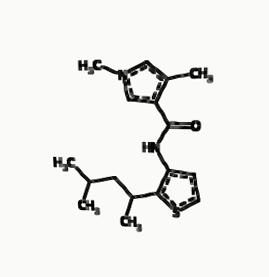 Cc1cn(C)cc1C(=O)Nc1ccsc1C(C)CC(C)C